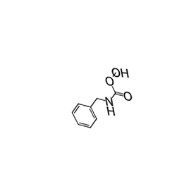 O=C(NCc1ccccc1)OO